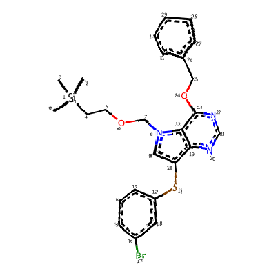 C[Si](C)(C)CCOCn1cc(Sc2cccc(Br)c2)c2ncnc(OCc3ccccc3)c21